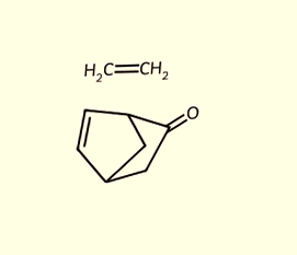 C=C.O=C1CC2C=CC1C2